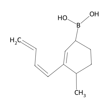 C=C/C=C\C1=CC(B(O)O)CCC1C